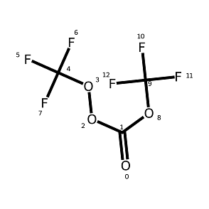 O=C(OOC(F)(F)F)OC(F)(F)F